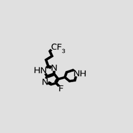 Fc1cnc2[nH]c(CCCC(F)(F)F)nc2c1C1CCNCC1